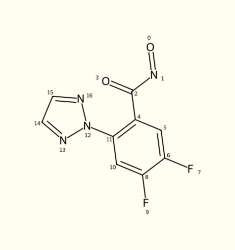 O=NC(=O)c1cc(F)c(F)cc1-n1nccn1